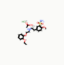 CC(=O)O.CCOc1ccccc1OCCN[C@H](C)Cc1ccc(OC)c(S(N)(=O)=O)c1.Cl